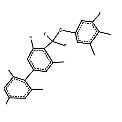 Cc1cc(C)c(-c2cc(C)c(C(F)(F)Oc3cc(C)c(C)c(F)c3)c(F)c2)c(C)c1